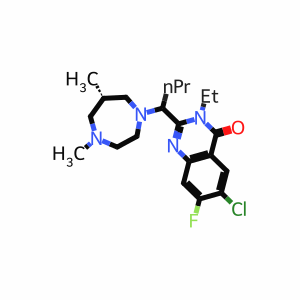 CCCC(c1nc2cc(F)c(Cl)cc2c(=O)n1CC)N1CCN(C)C[C@H](C)C1